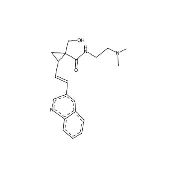 CN(C)CCNC(=O)C1(CO)CC1/C=C/c1cnc2ccccc2c1